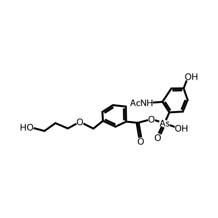 CC(=O)Nc1cc(O)ccc1[As](=O)(O)OC(=O)c1cccc(COCCCO)c1